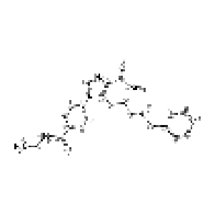 NC(=O)c1nnn(-c2ccc(C(=O)NCC(F)(F)F)cc2)c1CCCOCc1ccccc1